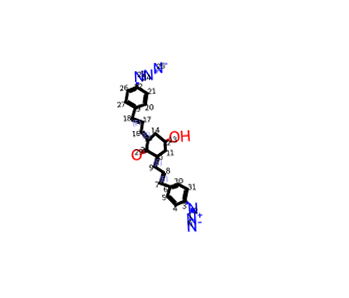 [N-]=[N+]=Nc1ccc(/C=C/C=C2\CC(O)C/C(=C\C=C\c3ccc(N=[N+]=[N-])cc3)C2=O)cc1